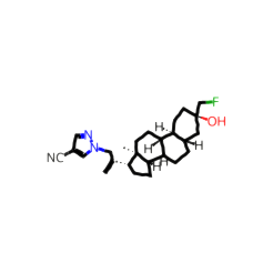 C=C(Cn1cc(C#N)cn1)[C@H]1CC[C@H]2[C@@H]3CC[C@H]4C[C@@](O)(CF)CC[C@@H]4[C@H]3CC[C@]12C